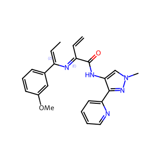 C=C/C(=N\C(=C/C)c1cccc(OC)c1)C(=O)Nc1cn(C)nc1-c1ccccn1